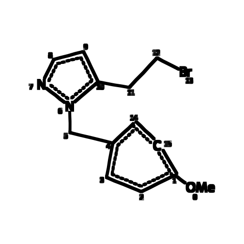 COc1ccc(Cn2nccc2CCBr)cc1